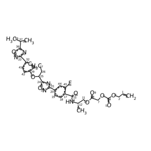 C=CCOC(=O)OCC(=O)OC[C@@H](C)NC(=O)c1ccc(-c2noc(C(CC)Oc3ccc(-c4noc(C(C)C)n4)cc3)n2)cc1F